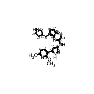 COc1nc(C)ccc1-c1cc(Nc2cnc3ccn(C[C@H]4CCNC4)c3n2)n[nH]1